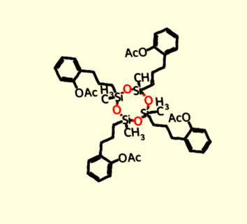 CC(=O)Oc1ccccc1CCC[Si]1(C)O[Si](C)(CCCc2ccccc2OC(C)=O)O[Si](C)(CCCc2ccccc2OC(C)=O)O[Si](C)(CCCc2ccccc2OC(C)=O)O1